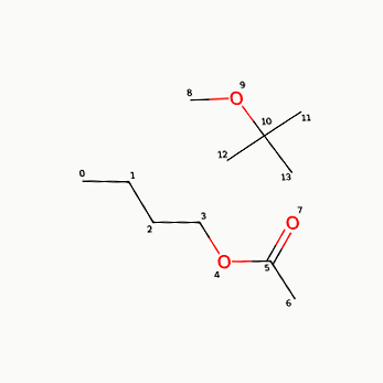 CCCCOC(C)=O.COC(C)(C)C